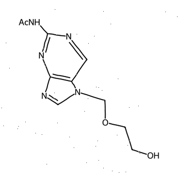 CC(=O)Nc1ncc2c(ncn2COCCO)n1